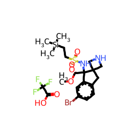 COC(=O)C1(NS(=O)(=O)CC[Si](C)(C)C)c2cc(Br)ccc2CC12CNC2.O=C(O)C(F)(F)F